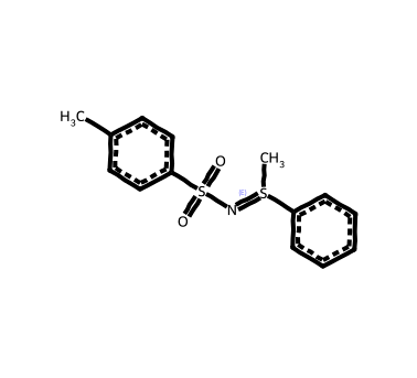 Cc1ccc(S(=O)(=O)/N=S(\C)c2ccccc2)cc1